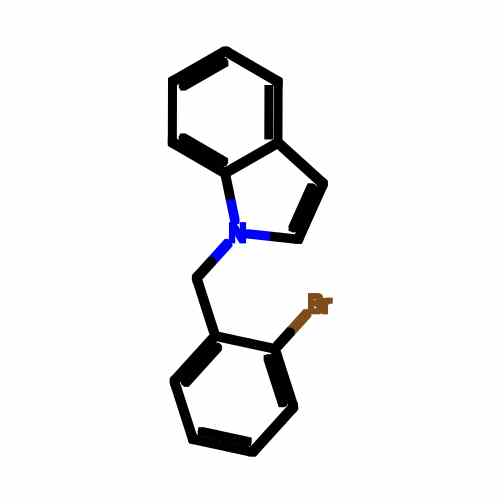 Brc1ccccc1Cn1ccc2ccccc21